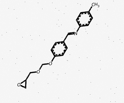 Cc1ccc(N=Cc2ccc(OCOCC3CO3)cc2)cc1